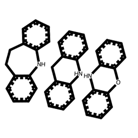 c1ccc2c(c1)CCc1ccccc1N2.c1ccc2c(c1)Cc1ccccc1N2.c1ccc2c(c1)Nc1ccccc1O2